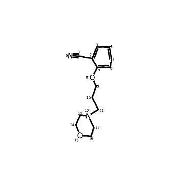 N#Cc1ccccc1OCCCN1CCOCC1